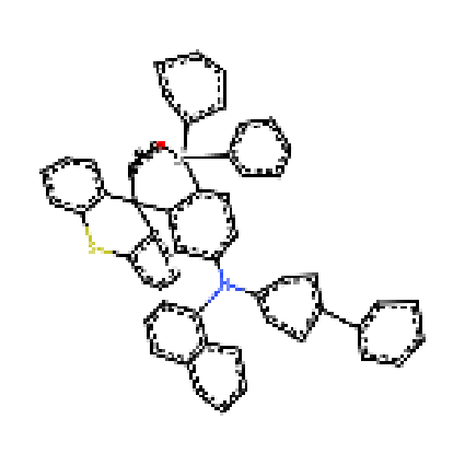 c1ccc(-c2ccc(N(c3ccc4c(c3)C3(c5ccccc5Sc5ccccc53)c3ccccc3[Si]4(c3ccccc3)c3ccccc3)c3cccc4ccccc34)cc2)cc1